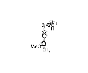 COc1cc(C2CCC3(CC2)CN(C(=O)[C@H]2C[C@@](C)(O)C2)C3)ccc1C